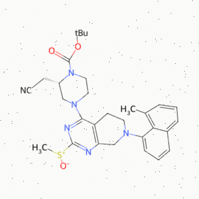 Cc1cccc2cccc(N3CCc4c(nc([S+](C)[O-])nc4N4CCN(C(=O)OC(C)(C)C)[C@@H](CC#N)C4)C3)c12